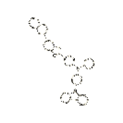 c1ccc(N(c2ccc(-c3nc4cc(-c5ccc6ccccc6c5)ccc4o3)cc2)c2ccc(-n3c4ccccc4c4ccccc43)cc2)cc1